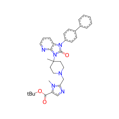 Cn1c(C(=O)OC(C)(C)C)cnc1CN1CCC(C)(n2c(=O)n(-c3ccc(-c4ccccc4)cc3)c3cccnc32)CC1